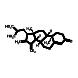 C=C1C(=C)[C@H]2[C@@H]3CCC4=CC(=O)CC[C@]4(C)[C@H]3CC[C@]2(C)[C@@H]1CC(C(=O)O)C(=O)O